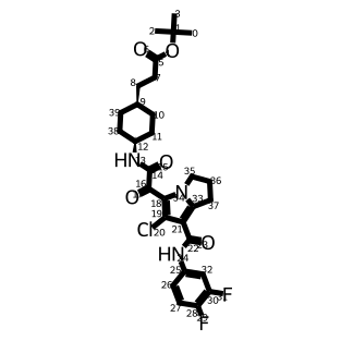 CC(C)(C)OC(=O)CC[C@H]1CC[C@@H](NC(=O)C(=O)c2c(Cl)c(C(=O)Nc3ccc(F)c(F)c3)c3n2CCC3)CC1